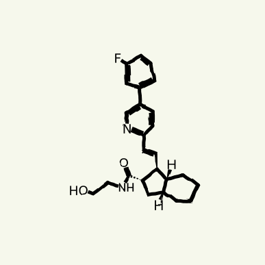 O=C(NCCO)[C@H]1C[C@H]2CCCC[C@H]2[C@@H]1C=Cc1ccc(-c2cccc(F)c2)cn1